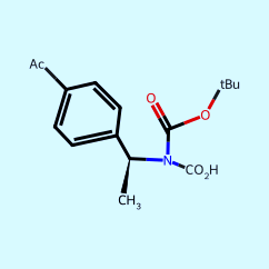 CC(=O)c1ccc([C@H](C)N(C(=O)O)C(=O)OC(C)(C)C)cc1